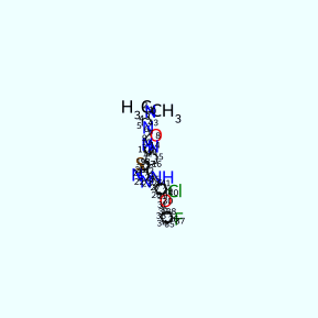 CN(C)[C@@H]1CCN(C(=O)Cn2cc3c(n2)CCc2c-3sc3ncnc(Nc4ccc(OCc5cccc(F)c5)c(Cl)c4)c23)C1